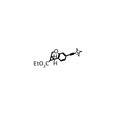 CCOC(=O)C1[C@H]2c3ccc(C#C[Si](C)(C)C)cc3OC[C@@H]12